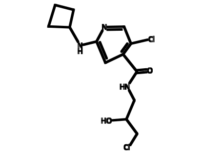 O=C(NCC(O)CCl)c1cc(NC2CCC2)ncc1Cl